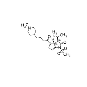 CC(C)[C@H]1C(=O)N(S(C)(=O)=O)C2=CCN(C(=O)CCCC3CCN(C)CC3)[C@@H]21